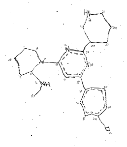 CNC1CCCCN1c1cc(-c2ccc(Cl)cc2)nc(C2CCCNC2)n1